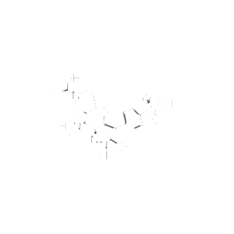 CS(=O)(=O)c1ccc(-c2c(OC3CCN(C(=O)O)CC3)c(C(N)=O)n[nH]c2=O)cc1